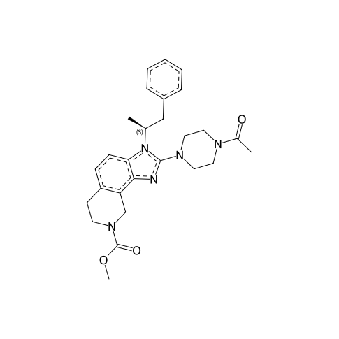 COC(=O)N1CCc2ccc3c(nc(N4CCN(C(C)=O)CC4)n3[C@@H](C)Cc3ccccc3)c2C1